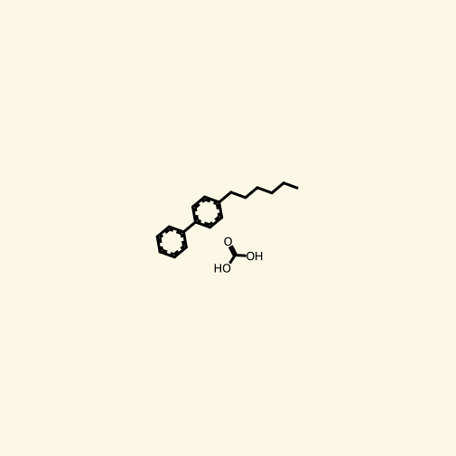 CCCCCCc1ccc(-c2ccccc2)cc1.O=C(O)O